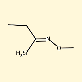 CCC([SiH3])=NOC